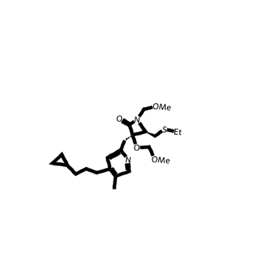 CCSC[C@@H]1N(COC)C(=O)[C@]1(Cc1cc(CCCC2CC2)c(C)cn1)OCOC